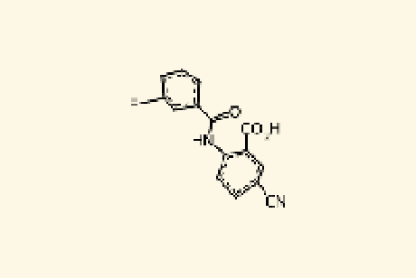 N#Cc1ccc(NC(=O)c2cccc(F)c2)c(C(=O)O)c1